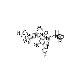 C=CC(=O)N1C[C@H](C)N(c2nc(=O)n3c4c(c(-c5ccc(F)cc5F)c(C#N)cc24)OC[C@H]3CCCN2C[C@@H]3C[C@H]2CO3)C[C@H]1C